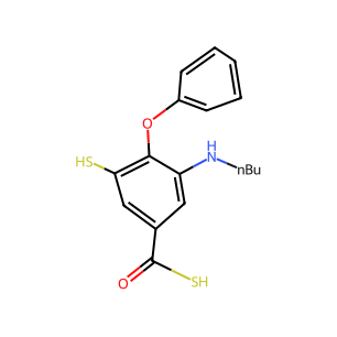 CCCCNc1cc(C(=O)S)cc(S)c1Oc1ccccc1